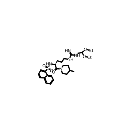 CCOC(CNC(=N)NCCC[C@H](NS(=O)(=O)c1cccc2ccccc12)C(=O)N1CCC(C)CC1)OCC